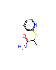 CC(Sc1ccccn1)C(N)=O